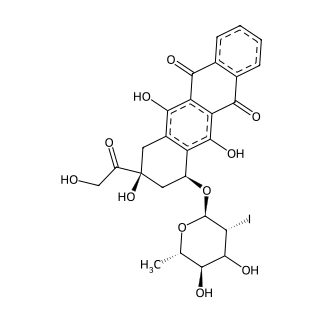 C[C@@H]1O[C@@H](O[C@H]2C[C@](O)(C(=O)CO)Cc3c(O)c4c(c(O)c32)C(=O)c2ccccc2C4=O)[C@H](I)C(O)[C@H]1O